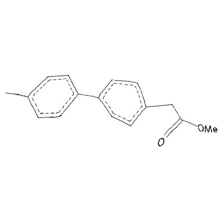 COC(=O)Cc1ccc(-c2ccc(C)cc2)cc1